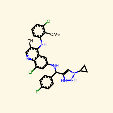 COc1c(Cl)cccc1Nc1c(C#N)cnc2c(Cl)cc(NC(C3=CN(C4CC4)NN3)c3ccc(F)cc3)cc12